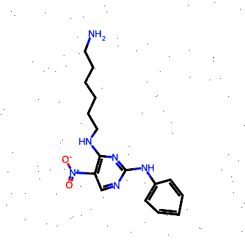 NCCCCCCNc1nc(Nc2ccccc2)ncc1[N+](=O)[O-]